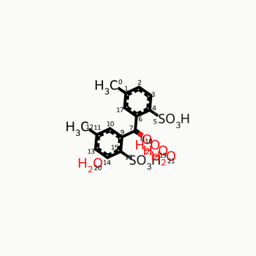 Cc1ccc(S(=O)(=O)O)c(C(=O)c2cc(C)ccc2S(=O)(=O)O)c1.O.O.O.O